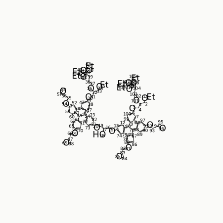 CCOCC(COc1ccc(C(c2ccc(OCC(O)COc3ccc(C(c4ccc(OCC(COCC)OCCC[Si](OCC)(OCC)OCC)cc4)C(c4ccc(OCC5CO5)cc4)c4ccc(OCC5CO5)cc4)cc3)cc2)C(c2ccc(OCC3CO3)cc2)c2ccc(OCC3CO3)cc2)cc1)OCCC[Si](OCC)(OCC)OCC